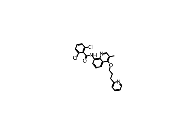 Cc1cnc2c(NC(=O)c3c(Cl)cccc3Cl)cccc2c1OCCCc1ccccn1